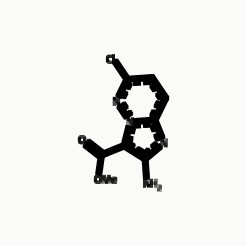 COC(=O)c1c(N)nc2ccc(Cl)nn12